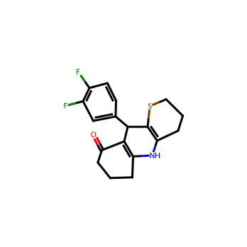 O=C1CCCC2=C1C(c1ccc(F)c(F)c1)C1=C(CCCS1)N2